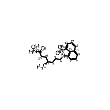 CC(CCCN1c2cccc3cccc(c23)S1(=O)=O)CCC(=O)NO